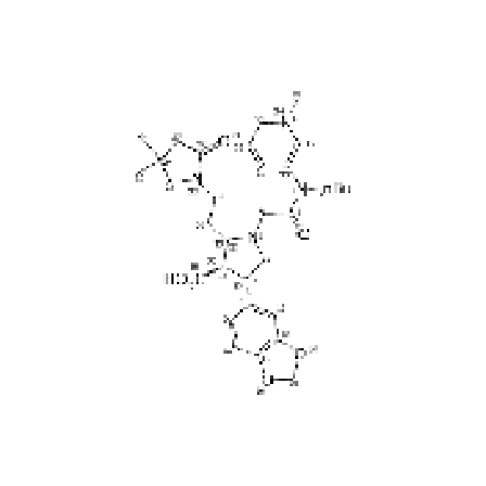 CCCCN(C(=O)CN1C[C@H](c2ccc3c(c2)OCO3)[C@@H](C(=O)O)[C@@H]1CCN1CC(C)(C)CC1=O)c1ccc[n+](C)c1